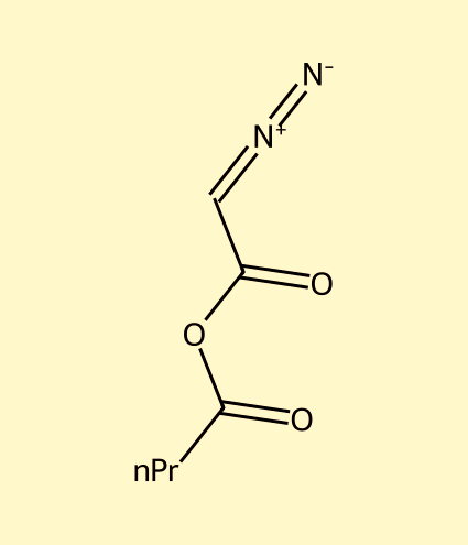 CCCC(=O)OC(=O)C=[N+]=[N-]